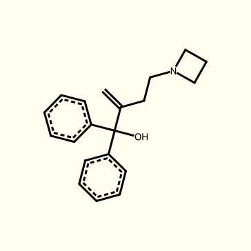 C=C(CCN1CCC1)C(O)(c1ccccc1)c1ccccc1